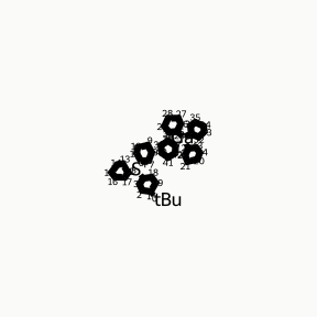 CC(C)(C)c1ccc([S+](c2ccccc2)c2ccccc2)cc1.c1cc[c]([Ga-]([c]2ccccc2)([c]2ccccc2)[c]2ccccc2)cc1